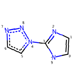 C1=CN=C(n2ccnn2)[N]1